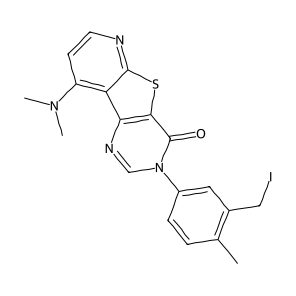 Cc1ccc(-n2cnc3c(sc4nccc(N(C)C)c43)c2=O)cc1CI